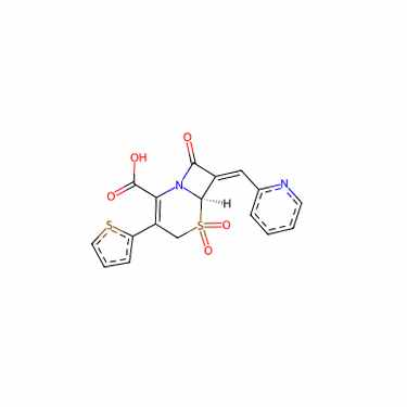 O=C(O)C1=C(c2cccs2)CS(=O)(=O)[C@@H]2/C(=C\c3ccccn3)C(=O)N12